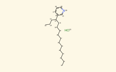 CCCCCCCCCCCCC(CCC)c1cccnc1.Cl